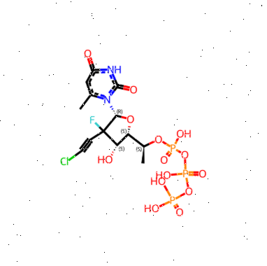 Cc1cc(=O)[nH]c(=O)n1[C@@H]1O[C@H]([C@H](C)OP(=O)(O)OP(=O)(O)OP(=O)(O)O)[C@H](O)C1(F)C#CCl